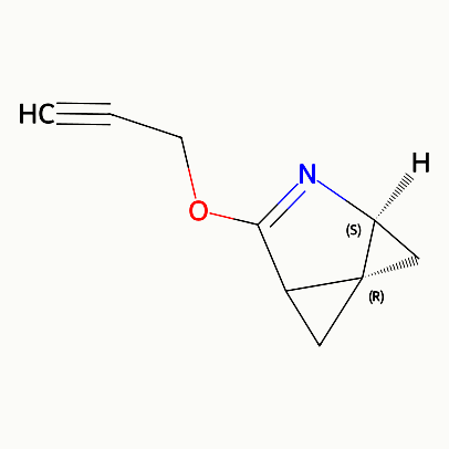 C#CCOC1=N[C@H]2C[C@@]23CC13